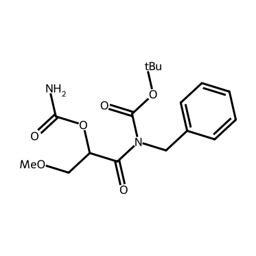 COCC(OC(N)=O)C(=O)N(Cc1ccccc1)C(=O)OC(C)(C)C